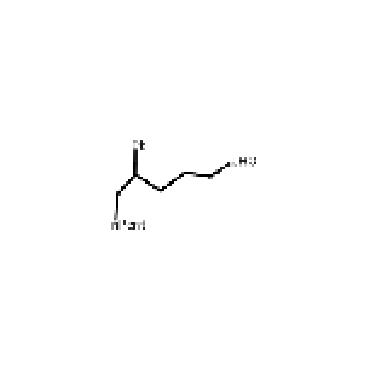 CCCCCCC(CC)CCCC=O